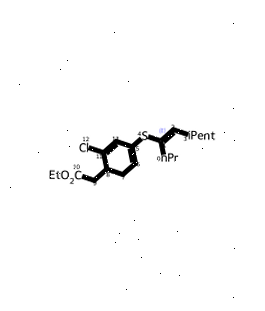 CCC/C(=C\C(C)CCC)SC1=CCC(CC(=O)OCC)C(Cl)=C1